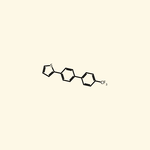 FC(F)(F)c1ccc(-c2ccc(-c3cccs3)cc2)cc1